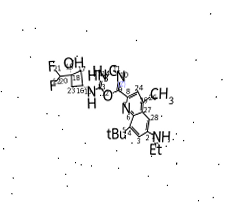 CCNc1cc(C(C)(C)C)c2nc(/C(=N/C)OC(=N)N[C@H]3C[C@](O)(C(F)F)C3)cc(C)c2c1